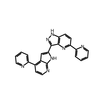 c1ccc(-c2ccc3[nH]nc(-c4cc5c(-c6ccccn6)ccnc5[nH]4)c3n2)nc1